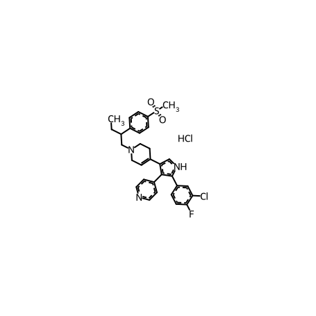 CCC(CN1CC=C(c2c[nH]c(-c3ccc(F)c(Cl)c3)c2-c2ccncc2)CC1)c1ccc(S(C)(=O)=O)cc1.Cl